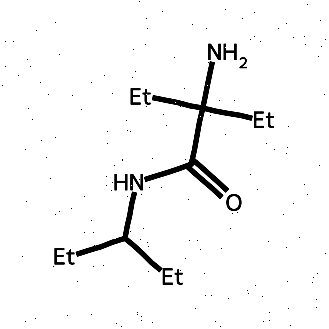 CCC(CC)NC(=O)C(N)(CC)CC